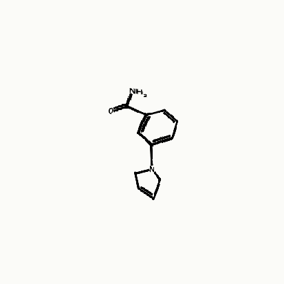 NC(=O)c1cccc(N2CC=CC2)c1